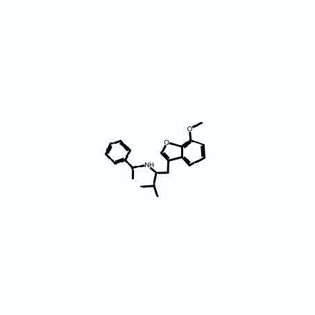 COc1cccc2c(CC(NC(C)c3ccccc3)C(C)C)coc12